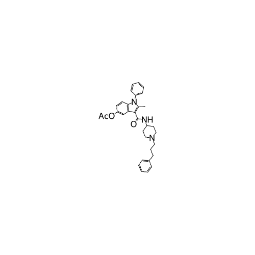 CC(=O)Oc1ccc2c(c1)c(C(=O)NC1CCN(CCCc3ccccc3)CC1)c(C)n2-c1ccccc1